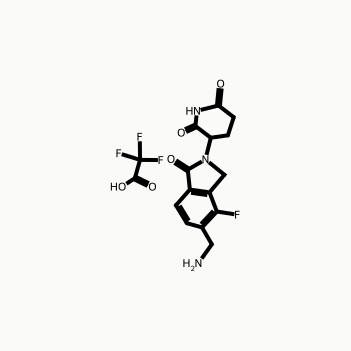 NCc1ccc2c(c1F)CN(C1CCC(=O)NC1=O)C2=O.O=C(O)C(F)(F)F